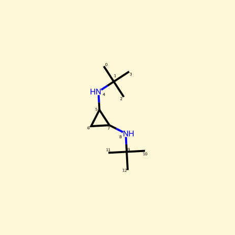 CC(C)(C)NC1CC1NC(C)(C)C